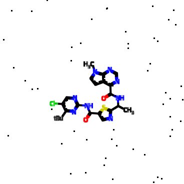 CC(NC(=O)c1ncnc2c1ccn2C)c1ncc(C(=O)Nc2ncc(Cl)c(C(C)(C)C)n2)s1